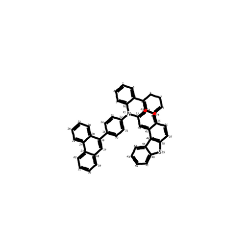 C1=CCCC(c2ccccc2N(c2ccc(-c3cc4ccccc4c4ccccc34)cc2)c2ccc3ccc4sc5ccccc5c4c3c2)=C1